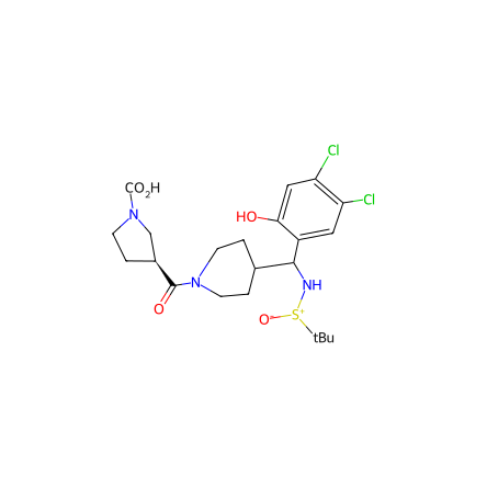 CC(C)(C)[S+]([O-])NC(c1cc(Cl)c(Cl)cc1O)C1CCN(C(=O)[C@H]2CCN(C(=O)O)C2)CC1